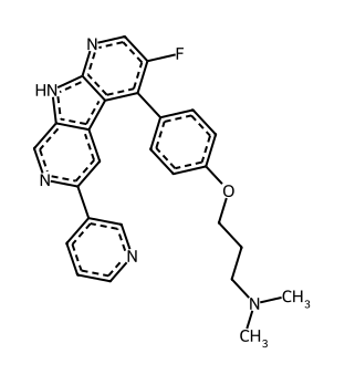 CN(C)CCCOc1ccc(-c2c(F)cnc3[nH]c4cnc(-c5cccnc5)cc4c23)cc1